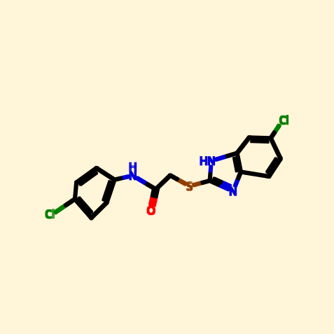 O=C(CSc1nc2ccc(Cl)cc2[nH]1)Nc1ccc(Cl)cc1